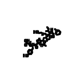 CCC(C)C(NC(=O)[C@H]1CCCCN1C)C(=O)N(CSCCO)[C@H](C[C@@H](OC(C)=O)c1nc(C(=O)N[C@@H](Cc2ccc(O)cc2)C[C@H](C)C(=O)O)cs1)C(C)C